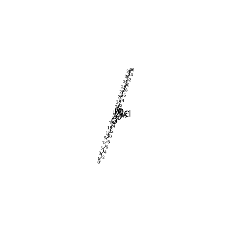 CCCCCCCCCCCCCCCCOCC(COCCCCCCCCCCCCCCCC)OC(=O)CCl